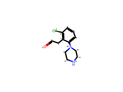 O=CCc1c(Cl)cccc1N1CCNCC1